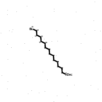 [CH2]CCCCCCCCCCCCCCCCCCCCCCCC(C)C[CH2]